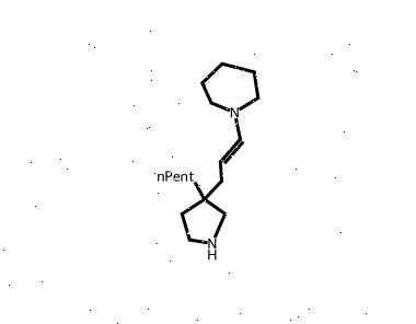 CCCCCC1(CC=CN2CCCCC2)CCNC1